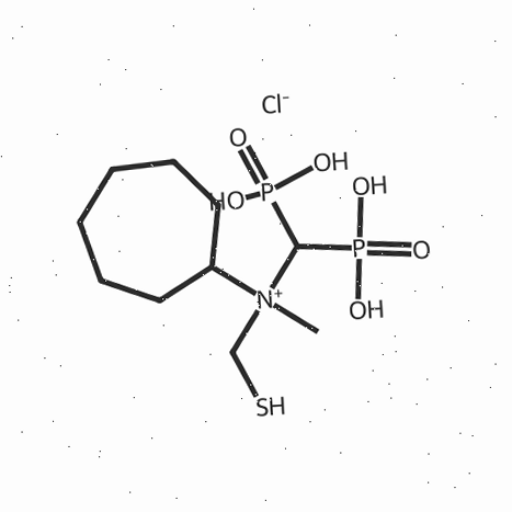 C[N+](CS)(C1CCCCCC1)C(P(=O)(O)O)P(=O)(O)O.[Cl-]